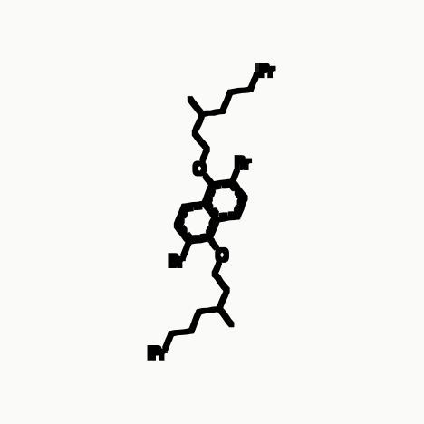 CC(C)CCCC(C)CCOc1c(Br)ccc2c(OCCC(C)CCCC(C)C)c(Br)ccc12